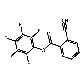 C#Cc1ccccc1C(=O)Oc1c(F)c(F)c(F)c(F)c1F